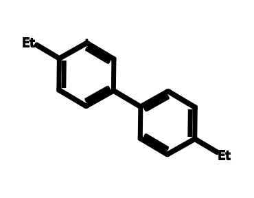 CCc1[c]cc(-c2ccc(CC)cc2)cc1